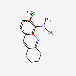 CCC(O/N=C1/CCCC/C1=C/c1ccc(Cl)cc1)N(C)C